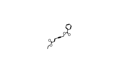 CCOC(=O)C=CC#CCOC(=O)c1ccccc1